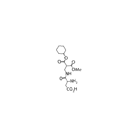 COC(=O)C(CNC(=O)C(N)CC(=O)O)C(=O)OC1CCCCC1